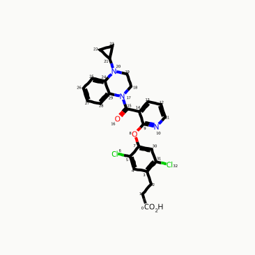 O=C(O)CCc1cc(Cl)c(Oc2ncccc2C(=O)N2CCN(C3CC3)c3ccccc32)cc1Cl